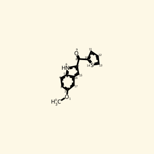 COc1ccc2[nH]c(C(=O)c3cccs3)cc2c1